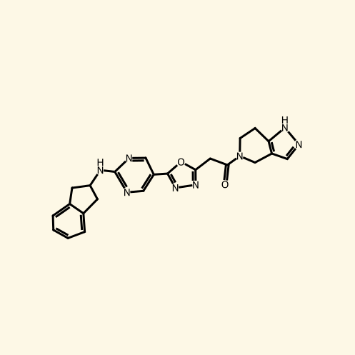 O=C(Cc1nnc(-c2cnc(NC3Cc4ccccc4C3)nc2)o1)N1CCc2[nH]ncc2C1